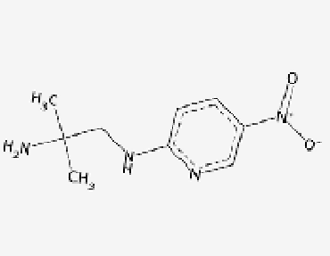 CC(C)(N)CNc1ccc([N+](=O)[O-])cn1